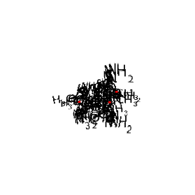 CC[C@H]1O[C@@H](n2cc(C)c(=O)[nH]c2=O)C[C@H]1OP(=O)(S)OC[C@H]1O[C@@H](n2cnc3c(N)ncnc32)C(OCCOC)[C@H]1OP(=O)(O)OC[C@H]1O[C@@H](n2cc(C)c(N)nc2=O)C(OCCOC)[C@H]1OP(=O)(O)OC[C@H]1O[C@@H](n2cnc3c(N)ncnc32)C(OCCOC)[C@H]1OP(=O)(S)OC[C@H]1O[C@@H](n2cnc3c(N)ncnc32)C(OCCOC)[C@H]1OP(=O)(S)OC[C@H]1O[C@@H](n2cnc3c(N)ccnc32)C(OCCOC)[C@H]1O